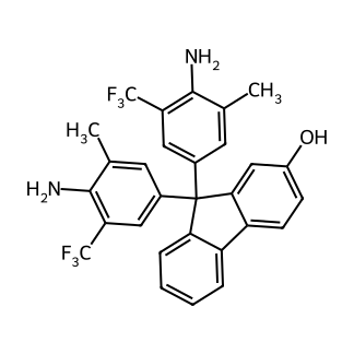 Cc1cc(C2(c3cc(C)c(N)c(C(F)(F)F)c3)c3ccccc3-c3ccc(O)cc32)cc(C(F)(F)F)c1N